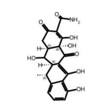 C[C@H]1c2cccc(O)c2C(O)=C2C(=O)[C@]3(O)C(O)=C(C(N)=O)C(=O)C[C@@H]3C(O)[C@@H]21